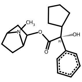 CN1C2CCC1C(OC(=O)[C@](O)(c1ccccc1)C1CCCC1)C2